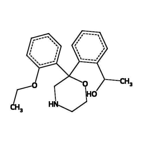 CCOc1ccccc1C1(c2ccccc2C(C)O)CNCCO1